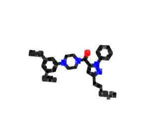 CCOC(=O)C=Cc1cc(C(=O)N2CCN(c3cc(OC)cc(OC)c3)CC2)n(-c2ccccc2)n1